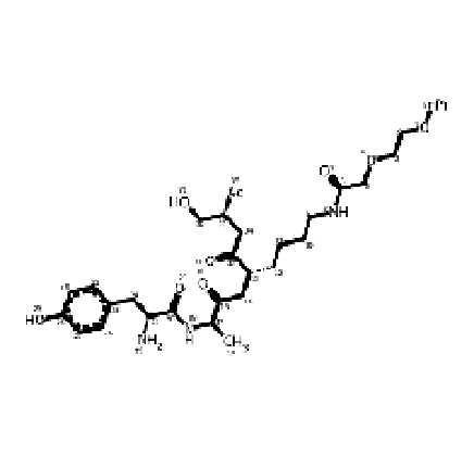 CCCOCCOCC(=O)NCCCC[C@H](CC(=O)C(C)NC(=O)[C@@H](N)Cc1ccc(O)cc1)C(=O)C[C@@H](CO)C(C)=O